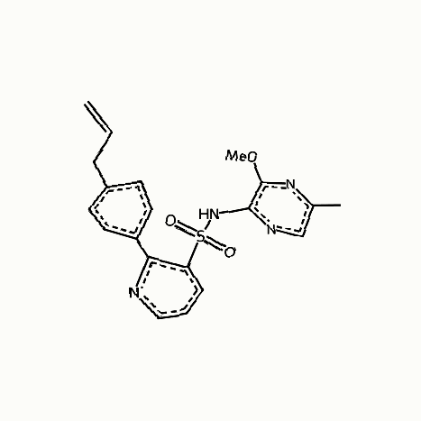 C=CCc1ccc(-c2ncccc2S(=O)(=O)Nc2ncc(C)nc2OC)cc1